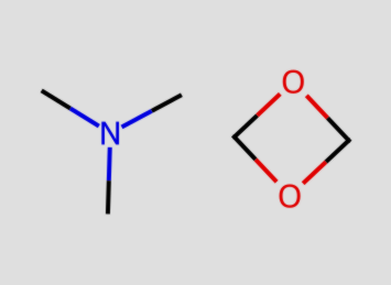 C1OCO1.CN(C)C